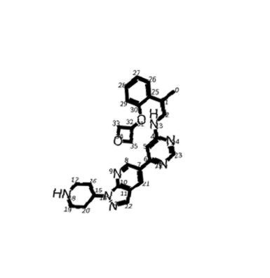 CC(CNc1cc(-c2cnc3c(cnn3C3CCNCC3)c2)ncn1)c1ccccc1OC1COC1